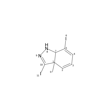 CC12C=CC=C(I)C1NN=C2I